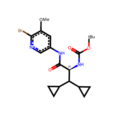 COc1cc(NC(=O)[C@@H](NC(=O)OC(C)(C)C)C(C2CC2)C2CC2)cnc1Br